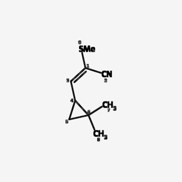 CS/C(C#N)=C/C1CC1(C)C